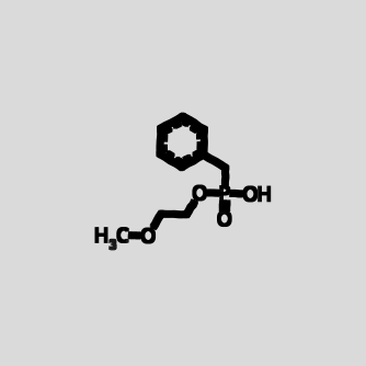 COCCOP(=O)(O)Cc1ccccc1